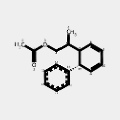 CC(=O)OCC(C)C1C=CC=C[C@@H]1c1ccccc1